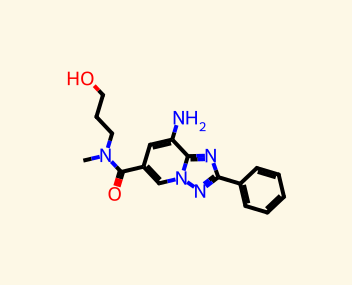 CN(CCCO)C(=O)c1cc(N)c2nc(-c3ccccc3)nn2c1